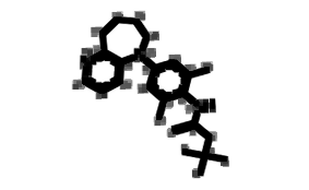 C=C(CC(C)(C)C)Nc1c(C)cc(N2CCCCc3ncccc32)cc1C